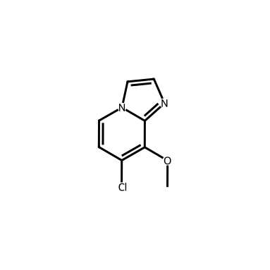 COc1c(Cl)ccn2ccnc12